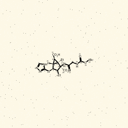 CCC1[C@@H](Sc2nnc[nH]2)[C@@H]2[C@@H](C(=O)O)[C@@]2(CC)[C@]1(NC(=O)CNC(=O)OC(C)(C)C)C(=O)O